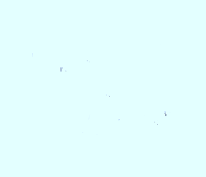 CCN(C(C)C)C1CCC(N2CCC(c3nc4cccc(C(F)(F)F)c4[nH]3)C2=O)C(CS(=O)(=O)c2ccccc2)C1.O=C(O)C(F)(F)F